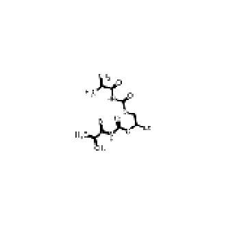 C=C(C)C(=O)NC(=O)OCC(CC)OC(=O)NC(=O)C(=C)C